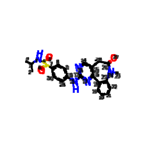 CC(C)NS(=O)(=O)c1ccc(Nc2ncc3c(n2)-c2ccccc2N(C)C(=O)C3)cc1